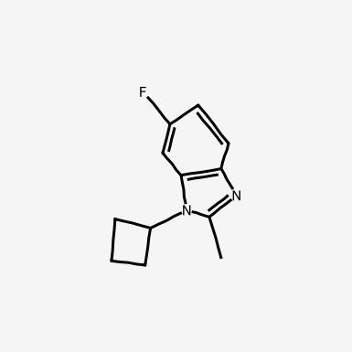 Cc1nc2ccc(F)cc2n1C1CCC1